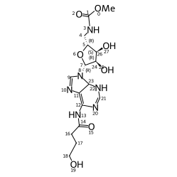 COC(=O)NC[C@H]1O[C@@H](N2C=NC3=C(NC(=O)CCCO)N=CNC32)[C@H](O)[C@@H]1O